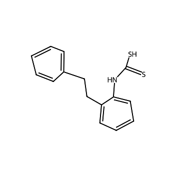 S=C(S)Nc1ccccc1CCc1ccccc1